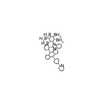 Bc1c(B)c(B)c(-n2c(-c3ccccc3-c3c4ccccc4c(-c4ccc(-c5ccccn5)cc4)c4ccccc34)nc3ccccc32)c(B)c1B